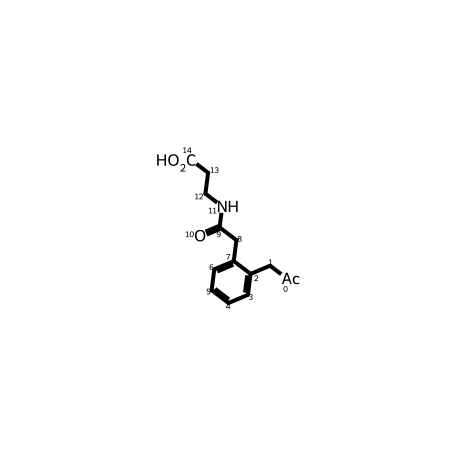 CC(=O)Cc1ccccc1CC(=O)NCCC(=O)O